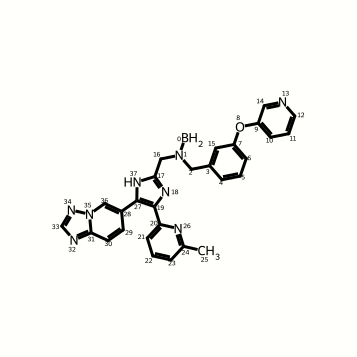 BN(Cc1cccc(Oc2cccnc2)c1)Cc1nc(-c2cccc(C)n2)c(-c2ccc3ncnn3c2)[nH]1